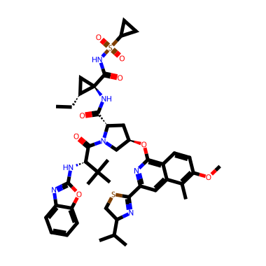 CC[C@@H]1C[C@]1(NC(=O)[C@@H]1C[C@@H](Oc2nc(C3=NC(C(C)C)CS3)cc3c(C)c(OC)ccc23)CN1C(=O)[C@@H](Nc1nc2ccccc2o1)C(C)(C)C)C(=O)NS(=O)(=O)C1CC1